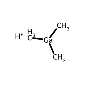 [CH3][Ga]([CH3])[CH3].[H+]